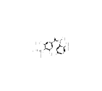 CCCCNc1c(C)cc(C(=O)N(C)c2ccccc2N)cc1[N+](=O)[O-]